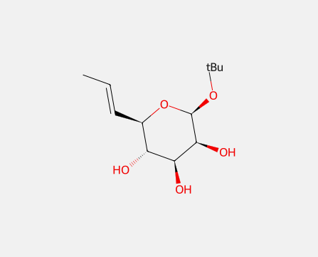 CC=C[C@H]1O[C@@H](OC(C)(C)C)[C@@H](O)[C@@H](O)[C@@H]1O